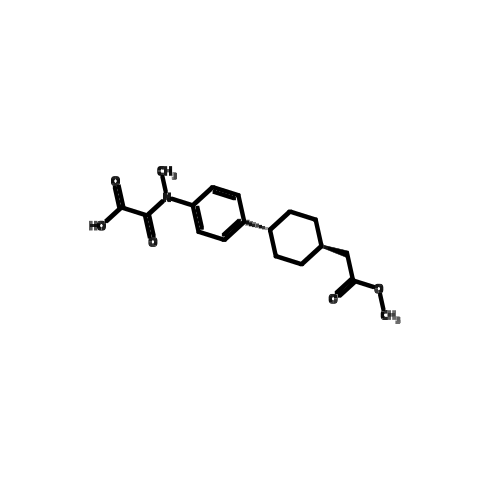 COC(=O)C[C@H]1CC[C@H](c2ccc(N(C)C(=O)C(=O)O)cc2)CC1